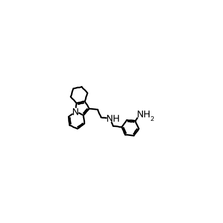 Nc1cccc(CNCCc2c3c(n4ccccc24)CCCC3)c1